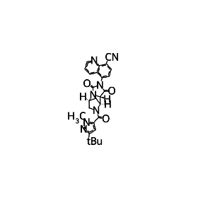 Cn1nc(C(C)(C)C)cc1C(=O)N1C[C@@H]2C[C@H]1[C@H]1C(=O)N(c3ccc(C#N)c4ncccc34)C(=O)N21